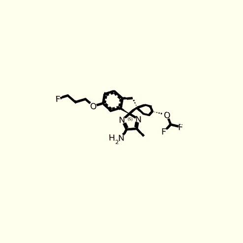 CC1=N[C@@]2(N=C1N)c1cc(OCCCF)ccc1C[C@]21CC[C@@H](OC(F)F)CC1